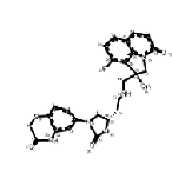 O=C1CSc2ccc(N3C[C@H](CCNC[C@@]4(O)Cn5c(=O)ccc6ccc(F)c4c65)OC3=O)cc2N1